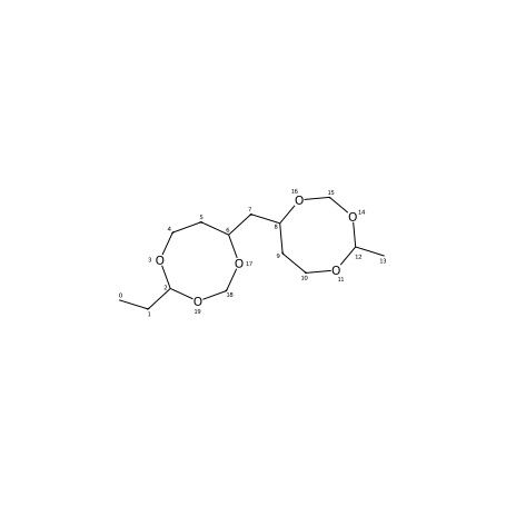 CCC1OCCC(CC2CCOC(C)OCO2)OCO1